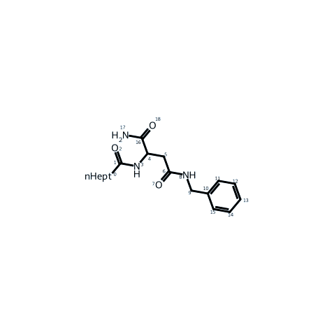 CCCCCCCC(=O)NC(CC(=O)NCc1ccccc1)C(N)=O